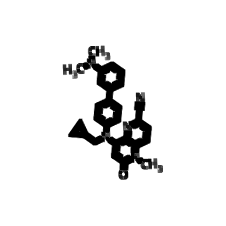 CN(C)c1cccc(-c2ccc(N(CC3CC3)c3cc(=O)n(C)c4ccc(C#N)nc34)cc2)c1